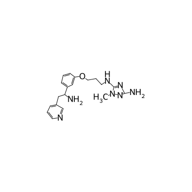 Cn1nc(N)nc1NCCCOc1cccc(C(N)Cc2cccnc2)c1